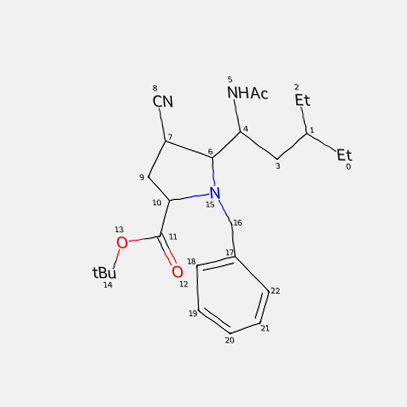 CCC(CC)CC(NC(C)=O)C1C(C#N)CC(C(=O)OC(C)(C)C)N1Cc1ccccc1